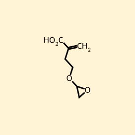 C=C(CCOC1CO1)C(=O)O